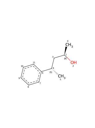 C[C@@H](O)C[C@H](C)c1ccccc1